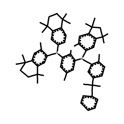 Cc1cc(N(c2ccc3c(c2)C(C)(C)CCC3(C)C)c2cc3c(cc2C)C(C)(C)CCC3(C)C)c(C)c(N(c2cc(C(C)(C)c3ccccc3)ccc2C)c2cc3c(cc2C)C(C)(C)CC3(C)C)c1